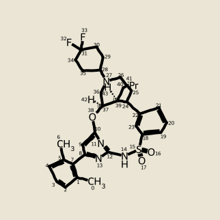 Cc1cccc(C)c1-c1cc2nc(n1)NS(=O)(=O)c1cccc(c1)C1CCN(C3CCC(F)(F)CC3)C[C@H](O2)[C@H]1CC(C)C